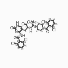 COC(=O)C(Cc1c[nH]c(=O)nc1NC(=O)c1c(Cl)cccc1Cl)NC(=O)N1CCN(C(=O)c2c(Cl)cccc2Cl)CC1